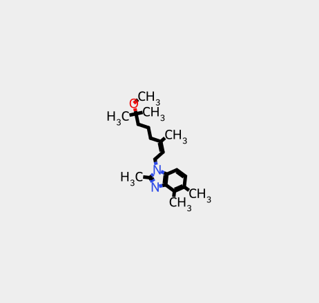 COC(C)(C)CCCC(C)=CCn1c(C)nc2c(C)c(C)ccc21